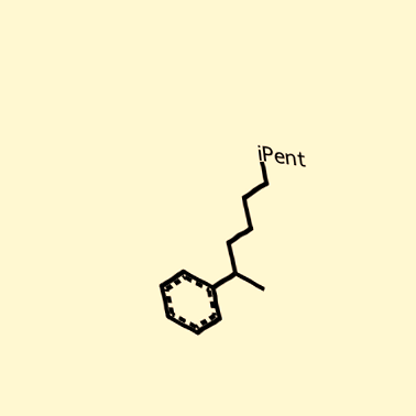 CCCC(C)CCCCC(C)c1ccccc1